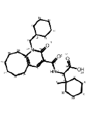 CC1(C(NC(=O)c2cc3c(n(CC4CCCCC4)c2=O)CCCCCC3)C(=O)O)CCCCC1